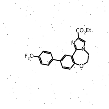 CCOC(=O)c1cn2c(n1)-c1cc(-c3ccc(C(F)(F)F)cc3)ccc1OCC2